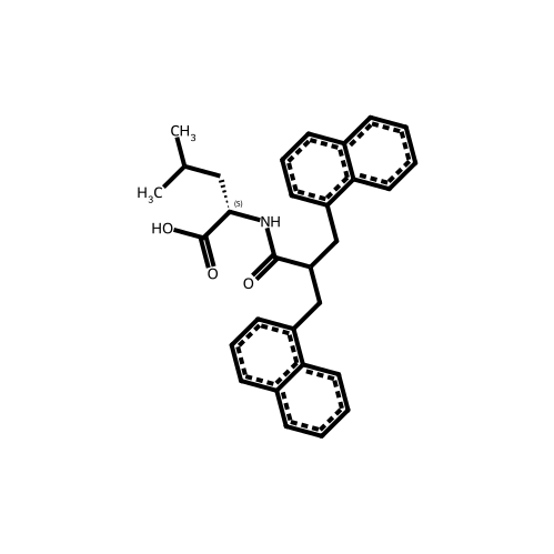 CC(C)C[C@H](NC(=O)C(Cc1cccc2ccccc12)Cc1cccc2ccccc12)C(=O)O